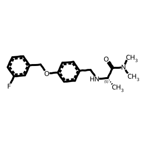 C[C@H](NCc1ccc(OCc2cccc(F)c2)cc1)C(=O)N(C)C